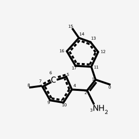 C/C(=C(\N)c1ccc(C)cc1)c1ccc(C)cc1